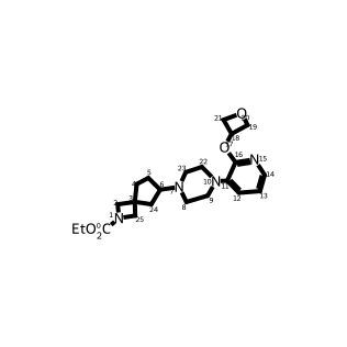 CCOC(=O)N1CC2(CCC(N3CCN(c4cccnc4OC4COC4)CC3)C2)C1